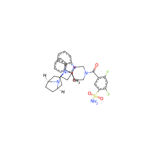 Cc1nc2ccccc2n1[C@H]1C[C@H]2CC[C@@H](C1)N2CCC1(c2ccccc2)CCN(C(=O)c2cc(S(N)(=O)=O)c(F)cc2F)CC1